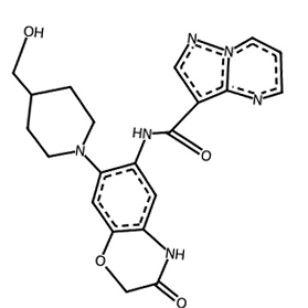 O=C1COc2cc(N3CCC(CO)CC3)c(NC(=O)c3cnn4cccnc34)cc2N1